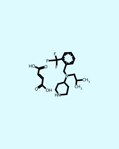 CC(C)CN(Cc1ccccc1C(F)(F)F)C1CCNCC1.O=C(O)C=CC(=O)O